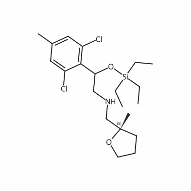 CC[Si](CC)(CC)OC(CNC[C@]1(C)CCCO1)c1c(Cl)cc(C)cc1Cl